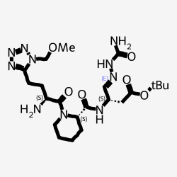 COCn1nnnc1CC[C@H](N)C(=O)N1CCCC[C@H]1C(=O)N[C@H](/C=N/NC(N)=O)CC(=O)OC(C)(C)C